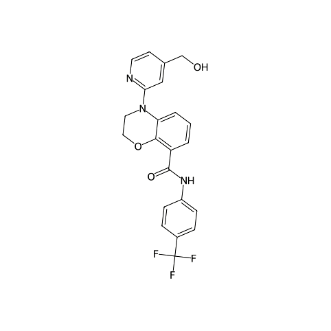 O=C(Nc1ccc(C(F)(F)F)cc1)c1cccc2c1OCCN2c1cc(CO)ccn1